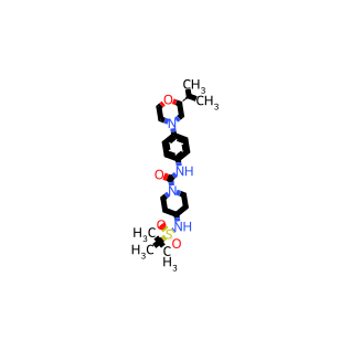 CC(C)[C@@H]1CN(c2ccc(NC(=O)N3CCC(NS(=O)(=O)C(C)(C)C)CC3)cc2)CCO1